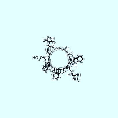 CC(=O)[C@@H]1CSSC[C@H](NC(=O)CN2C(=O)CNC2=O)C(=O)N[C@@H](CCC(=O)O)C(=O)N[C@@H](Cc2cnc[nH]2)C(=O)N[C@H](Cc2ccccc2)C(=O)N[C@@H](CCCNC(=N)N)C(=O)N[C@@H](Cc2c[nH]c3ccccc23)C(=O)N1